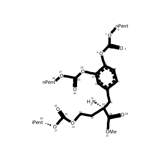 CCCCCOC(=O)Oc1ccc(C[C@](N)(CCOC(=O)O[C@@H](C)CCC)C(=O)OC)cc1OC(=O)OCCCCC